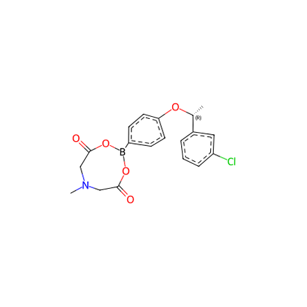 C[C@@H](Oc1ccc(B2OC(=O)CN(C)CC(=O)O2)cc1)c1cccc(Cl)c1